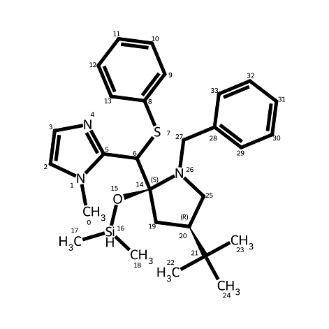 Cn1ccnc1C(Sc1ccccc1)[C@@]1(O[SiH](C)C)C[C@H](C(C)(C)C)CN1Cc1ccccc1